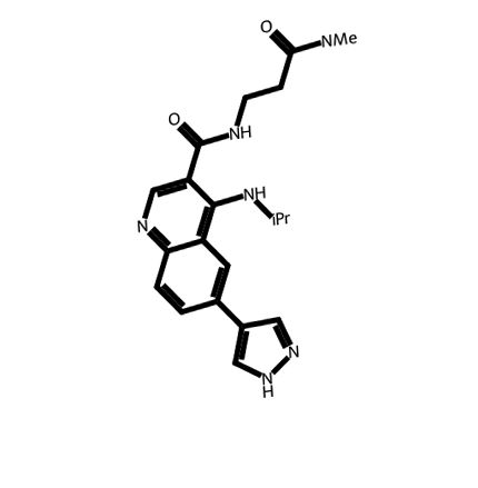 CNC(=O)CCNC(=O)c1cnc2ccc(-c3cn[nH]c3)cc2c1NC(C)C